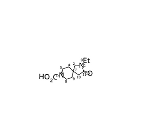 CCN1CC2(CCN(C(=O)O)CC2)CC1=O